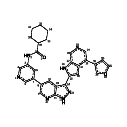 O=C(Nc1cncc(-c2cnc3[nH]nc(-c4cc5c(-c6ccoc6)cncc5[nH]4)c3c2)c1)C1CCCCC1